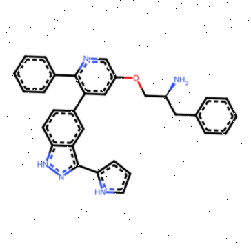 N[C@H](COc1cnc(-c2ccccc2)c(-c2ccc3[nH]nc(-c4ccc[nH]4)c3c2)c1)Cc1ccccc1